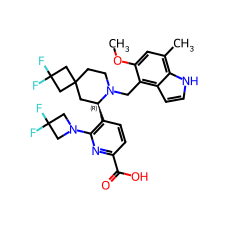 COc1cc(C)c2[nH]ccc2c1CN1CCC2(C[C@@H]1c1ccc(C(=O)O)nc1N1CC(F)(F)C1)CC(F)(F)C2